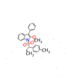 C=CC(c1ccc(C)cc1)S(=O)(=O)n1c(OC)c(-c2ccccc2)c2ccccc21